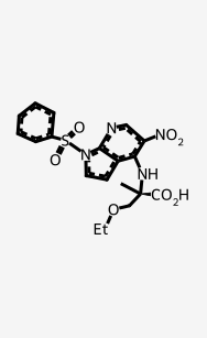 CCOC[C@](C)(Nc1c([N+](=O)[O-])cnc2c1ccn2S(=O)(=O)c1ccccc1)C(=O)O